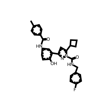 Cc1ccc(C(=O)Nc2ccc(O)c(-c3cc(C4CCC4)n(C(=O)NCc4ccc(F)cc4)n3)c2)cc1